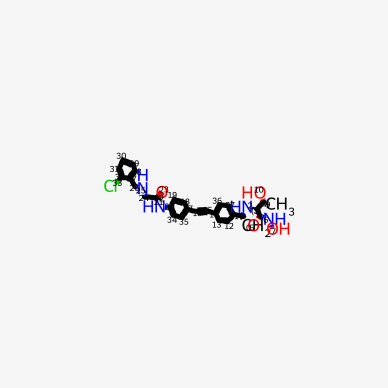 C=C(N[C@H](C(=O)NO)[C@@H](C)O)c1ccc(C#Cc2ccc(NC(=O)CNCc3ccccc3Cl)cc2)cc1